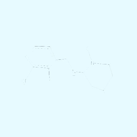 CN1CCCCC1NCc1cccc(Cl)c1F